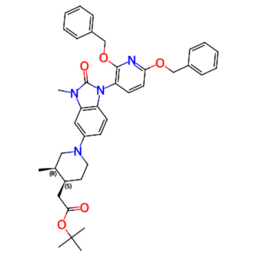 C[C@H]1CN(c2ccc3c(c2)n(C)c(=O)n3-c2ccc(OCc3ccccc3)nc2OCc2ccccc2)CC[C@H]1CC(=O)OC(C)(C)C